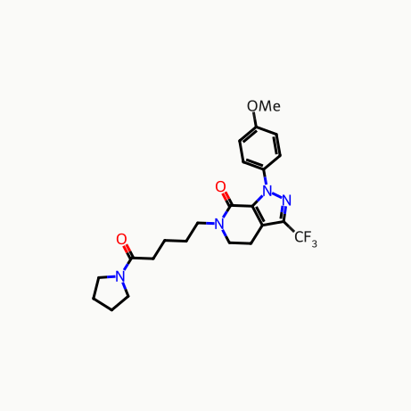 COc1ccc(-n2nc(C(F)(F)F)c3c2C(=O)N(CCCCC(=O)N2CCCC2)CC3)cc1